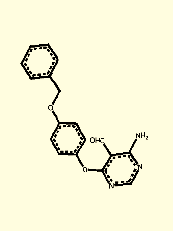 Nc1ncnc(Oc2ccc(OCc3ccccc3)cc2)c1C=O